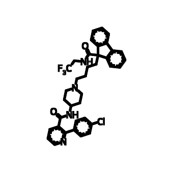 O=C(NC1CCN(CCCCC2(C(=O)NCC(F)(F)F)c3ccccc3-c3ccccc32)CC1)c1cccnc1-c1ccc(Cl)cc1